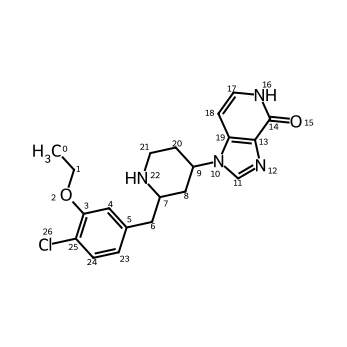 CCOc1cc(CC2CC(n3cnc4c(=O)[nH]ccc43)CCN2)ccc1Cl